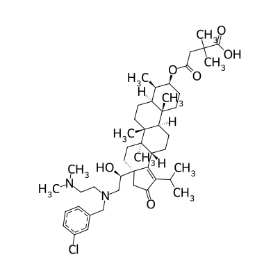 CC(C)C1=C2[C@H]3CC[C@@H]4[C@@]5(C)CC[C@H](OC(=O)CC(C)(C)C(=O)O)[C@H](C)[C@@H]5CC[C@@]4(C)[C@]3(C)CC[C@@]2([C@H](O)CN(CCN(C)C)Cc2cccc(Cl)c2)CC1=O